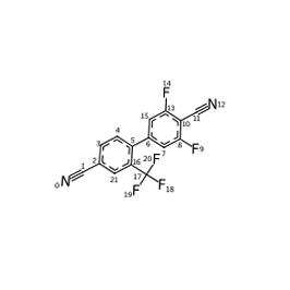 N#Cc1ccc(-c2cc(F)c(C#N)c(F)c2)c(C(F)(F)F)c1